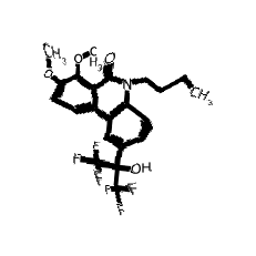 CCCCn1c(=O)c2c(OC)c(OC)ccc2c2cc(C(O)(C(F)(F)F)C(F)(F)F)ccc21